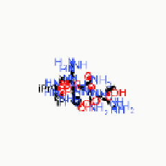 CC(C)C[C@H](NC(=O)[C@H](CC(C)C)NC(=O)[C@H](C)NC(=O)[C@H](CCCNC(=N)N)NC(=O)[C@H](Cc1ccc(O)cc1)NC(=O)[C@H](CCC(N)=O)NC(=O)[C@H](CCC(N)=O)NC(=O)[C@H](CCCNC(=N)N)NC(=O)[C@@H](C)[C@@H](C)O)C(N)=O